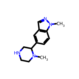 CN1CCNCC1c1ccc2c(cnn2C)c1